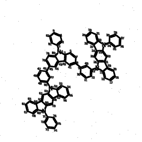 c1ccc(-n2c3ccc(-c4cccc(-n5c6ccccc6c6cc7c(cc65)c5ccccc5n7-c5ccccc5)c4)cc3c3cc(-c4cccc(-n5c6ccccc6c6cc7c(cc65)c5ccccc5n7-c5ccccc5)c4)ccc32)cc1